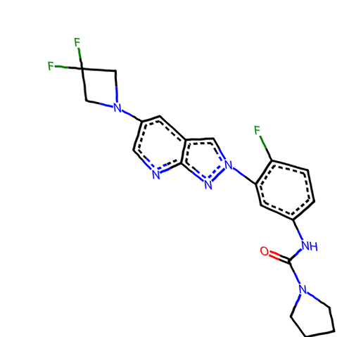 O=C(Nc1ccc(F)c(-n2cc3cc(N4CC(F)(F)C4)cnc3n2)c1)N1CCCC1